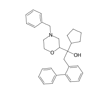 OC(Cc1ccccc1-c1ccccc1)(C1CCCC1)C1CN(Cc2ccccc2)CCO1